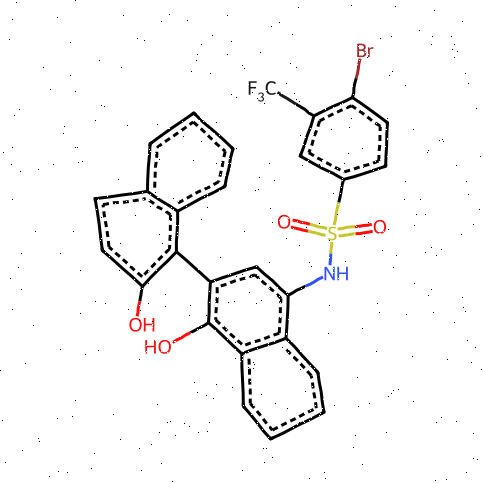 O=S(=O)(Nc1cc(-c2c(O)ccc3ccccc23)c(O)c2ccccc12)c1ccc(Br)c(C(F)(F)F)c1